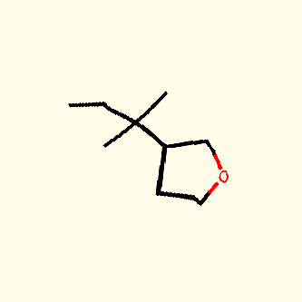 CCC(C)(C)C1CCOC1